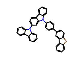 c1ccc2c(c1)sc1ccc(-c3ccc(-n4c5ccccc5c5ccc(-n6c7ccccc7c7ccccc76)cc54)cc3)cc12